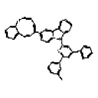 Cc1cccc(-c2cc(-c3ccccc3)cc(-n3c4ccccc4c4cc(-c5cccoc6ccccc6cc5)ccc43)n2)c1